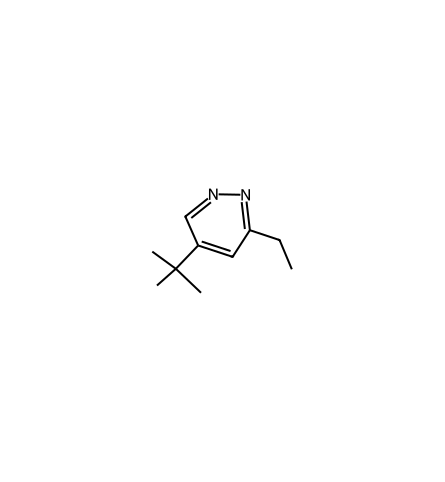 CCc1cc(C(C)(C)C)cnn1